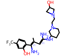 CC(/C=C(\N)NC1CCCN(CCN2CC(O)C2)C1)=C(/N)c1ccc(C(F)(F)F)cc1O